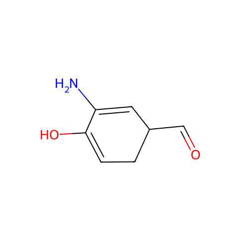 NC1=CC(C=O)CC=C1O